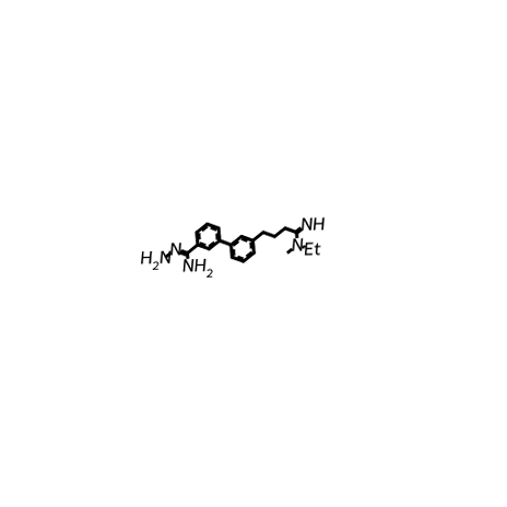 CCN(C)C(=N)CCCc1cccc(-c2cccc(/C(N)=N/N)c2)c1